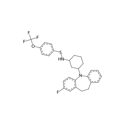 Fc1ccc2c(c1)CCc1ccccc1N2C1CCCC(NSc2ccc(OC(F)(F)F)cc2)C1